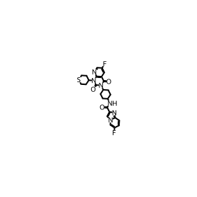 O=C(NC1CCC(n2c(=O)c3cc(F)cnc3n(C3CCSCC3)c2=O)CC1)c1cn2cc(F)ccc2n1